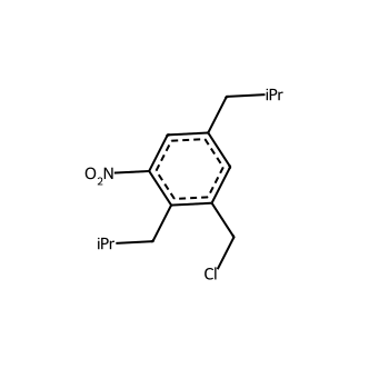 CC(C)Cc1cc(CCl)c(CC(C)C)c([N+](=O)[O-])c1